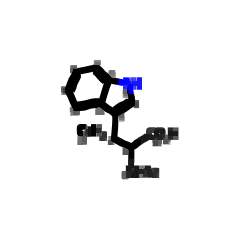 CC(=O)NC(Cc1c[nH]c2ccccc12)C(=O)O.[CaH2]